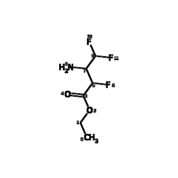 CCOC(=O)C(F)C(N)C(F)F